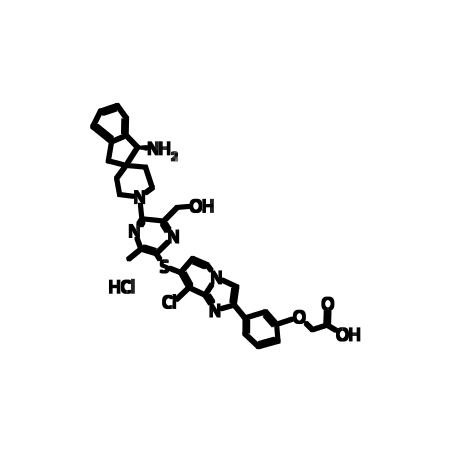 Cc1nc(N2CCC3(CC2)Cc2ccccc2[C@H]3N)c(CO)nc1Sc1ccn2cc(-c3cccc(OCC(=O)O)c3)nc2c1Cl.Cl